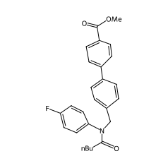 CCCCC(=O)N(Cc1ccc(-c2ccc(C(=O)OC)cc2)cc1)c1ccc(F)cc1